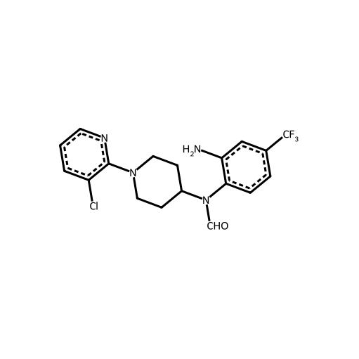 Nc1cc(C(F)(F)F)ccc1N(C=O)C1CCN(c2ncccc2Cl)CC1